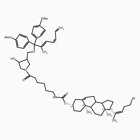 C=C/C=C\C=C(/C)C(OCC1CN(C(=O)CCCCCNC(=O)O[C@H]2CC[C@@]3(C)C(=CCC4C3CC[C@@]3(C)C4CC[C@@H]3/C(C)=C\CCC(C)C)C2)CC1O)(c1ccc(OC)cc1)c1ccc(OC)cc1